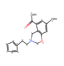 COC(=O)c1cc(OC)cc2c1CN(CCc1ccccc1)CO2